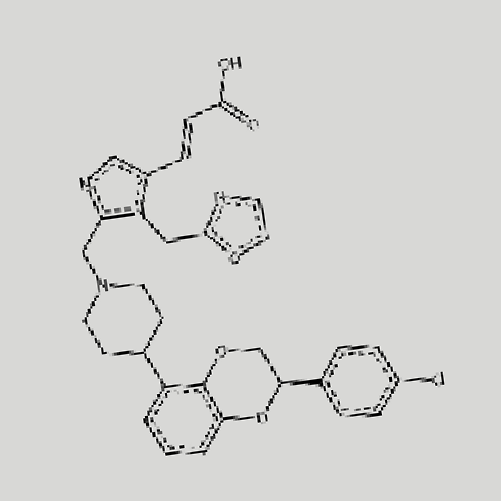 O=C(O)C=Cc1cnc(CN2CCC(c3cccc4c3OC[C@@H](c3ccc(Cl)cc3)O4)CC2)n1Cc1ncco1